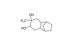 CC1(O)CC2C3CCC(C3)C2CC1O